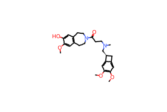 COc1cc2c(cc1O)CCN(C(=O)CCN(C)C[C@H]1Cc3cc(OC)c(OC)cc31)CC2